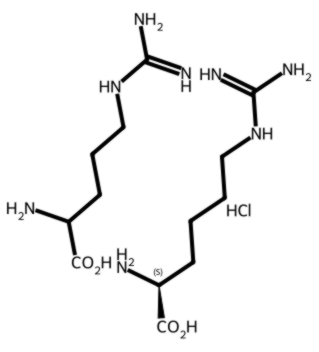 Cl.N=C(N)NCCCC(N)C(=O)O.N=C(N)NCCCC[C@H](N)C(=O)O